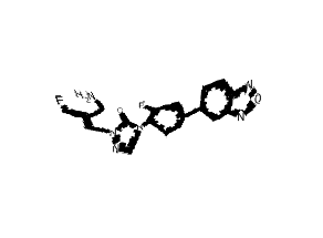 NC/C(=C\F)Cn1ncn(-c2ccc(-c3ccc4nonc4c3)cc2F)c1=O